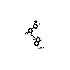 COc1ccc2c(OCCn3cc(-c4cccc(N)c4)ccc3=O)ccnc2c1